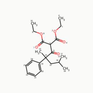 CCOC(=O)C(C(=O)OCC)C(=O)C(C)(CC(C)C)c1ccccc1